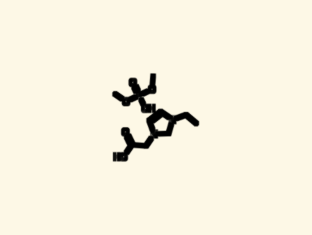 CCN1C=CN(CC(=O)O)C1.COP(=O)(O)OC